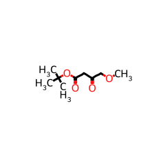 COCC(=O)CC(=O)OC(C)(C)C